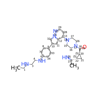 CCNCCNc1ccc(-c2cc3c(N4CCN(C(=O)[C@H]5C[C@@H]5C(C)=N)CC4)ccnn3c2)cc1